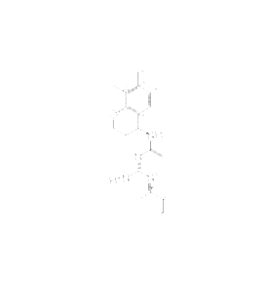 C=C(/N=C(N)\N=C(/C)CC)NC1CCOc2c1ccc(C)c2C